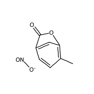 Cc1ccc2cc1OC2=O.O=[NH+][O-]